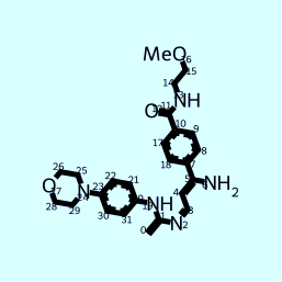 C=C(/N=C\C=C(/N)c1ccc(C(=O)NCCOC)cc1)Nc1ccc(N2CCOCC2)cc1